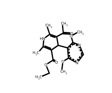 CCOC(=O)C1=C(C)NC(C)=C(C(C)=O)C1c1c(OC)ncnc1OC